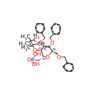 CC(C)(C)[Si](C)(C)O[C@H]1[C@@H](OCc2ccccc2)[C@H](OCc2ccccc2)[C@@H](COCc2ccccc2)O[C@@H]1CP(=O)(O)O